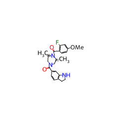 COc1ccc(C(=O)N2[C@H](C)CN(C(=O)c3ccc4c(c3)NCC4)C[C@H]2C)c(F)c1